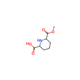 COC(=O)C1CCCC(C(=O)O)N1